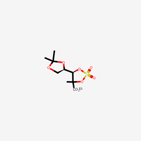 CCOC(=O)C1(C)OS(=O)(=O)O[C@@H]1[C@H]1COC(C)(C)O1